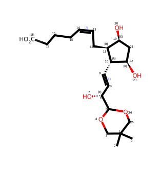 CC1(C)COC([C@H](O)/C=C/[C@@H]2[C@@H](C/C=C\CCCC(=O)O)[C@@H](O)C[C@H]2O)OC1